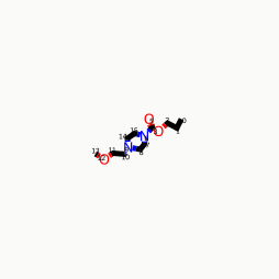 CCCOC(=O)N1CCN(CCOC)CC1